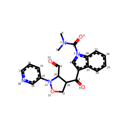 CN(C)C(=O)n1cc(C(=O)C2CON(c3cccnc3)C2C=O)c2ccccc21